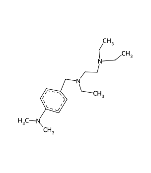 CCN(CC)CCN(CC)Cc1ccc(N(C)C)cc1